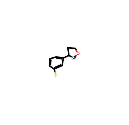 Fc1cccc(C2CCO[Se]2)c1